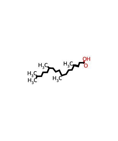 C/C(=C\CC(=O)O)CCCC(C)CCCC(C)CCCC(C)C